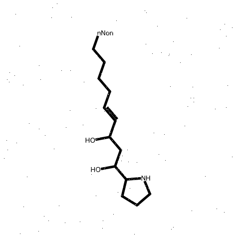 CCCCCCCCCCCCC/C=C/C(O)CC(O)C1CCCN1